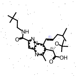 Cc1nc2cc(C(=O)NCCC(C)(C)C)nn2c(/C=C/CC(C)C)c1[C@H](OC(C)(C)C)C(=O)O